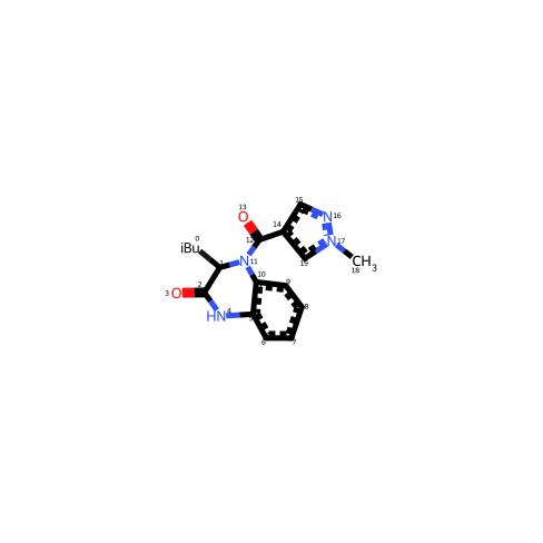 CCC(C)C1C(=O)Nc2ccccc2N1C(=O)c1cnn(C)c1